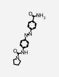 NC(=O)c1ccc(N=Nc2ccc(NC(=O)N3CCCC3)cc2)cc1